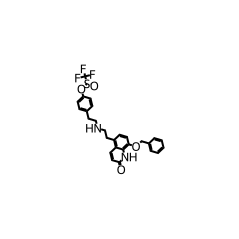 O=c1ccc2c(CCNCCc3ccc(OS(=O)C(F)(F)F)cc3)ccc(OCc3ccccc3)c2[nH]1